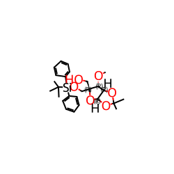 CO[C@@H]1[C@H]2OC(C)(C)O[C@H]2O[C@]1(CO)CO[Si](c1ccccc1)(c1ccccc1)C(C)(C)C